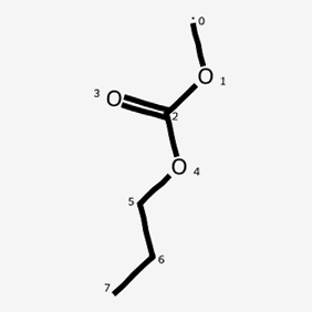 [CH2]OC(=O)OCCC